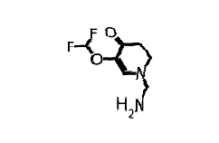 NCN1C=C(OC(F)F)C(=O)CC1